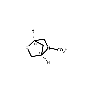 O=C(O)N1C[C@H]2C[C@@H]1CO2